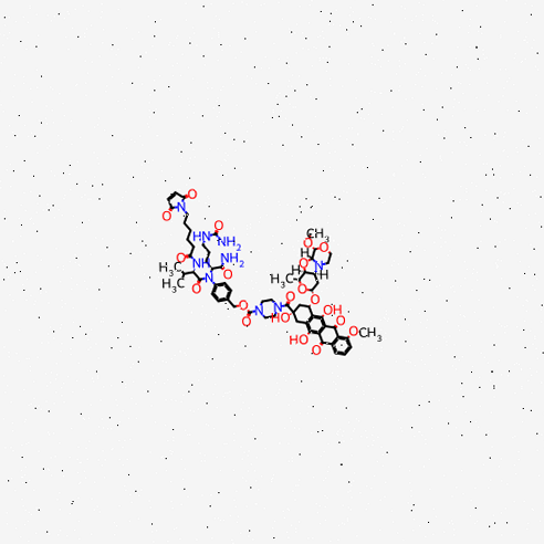 COc1cccc2c1C(=O)c1c(O)c3c(c(O)c1C2=O)C[C@@](O)(C(=O)N1CCN(C(=O)OCc2ccc(N(C(=O)[C@@H](NC(=O)CCCCCN4C(=O)C=CC4=O)C(C)C)[C@@H](CCCNC(N)=O)C(N)=O)cc2)CC1)C[C@@H]3O[C@H]1C[C@H]2[C@H](O[C@@H]3[C@@H](OC)OCCN32)[C@H](C)O1